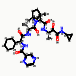 CCC[C@H](NC(=O)[C@@H]1[C@@H]2CC[C@H](C2)N1C(=O)[C@H](NC(=O)[C@@H](NC(=O)c1cnccn1)C1CCCCC1)C(C)(C)C)C(=O)C(=O)NC1CC1